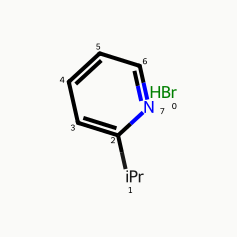 Br.CC(C)c1ccccn1